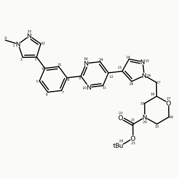 Cn1cc(-c2cccc(-c3ncc(-c4cnn(CC5CN(C(=O)OC(C)(C)C)CCO5)c4)cn3)c2)cn1